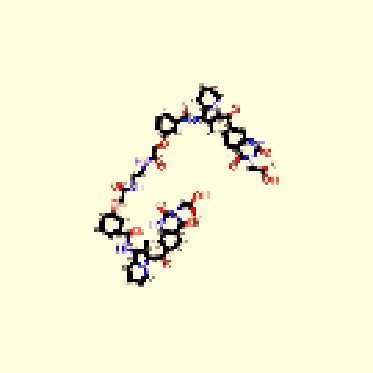 Cc1c(NC(=O)c2cccc(OCC(=O)NCCNC(=O)COc3cccc(C(=O)Nc4c(C)c(C(=O)c5ccc6c(=O)n(CC(=O)O)c(=O)[nH]c6c5)n5ccccc45)c3)c2)c2ccccn2c1C(=O)c1ccc2c(=O)n(CC(=O)O)c(=O)[nH]c2c1